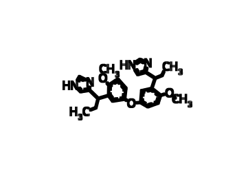 CCC(c1c[nH]cn1)c1cc(Oc2ccc(OC)c(C(CC)c3c[nH]cn3)c2)ccc1OC